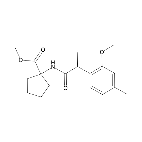 COC(=O)C1(NC(=O)C(C)c2ccc(C)cc2OC)CCCC1